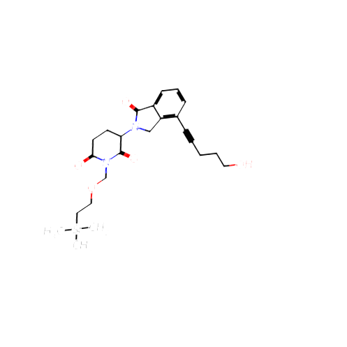 C[Si](C)(C)CCOCN1C(=O)CCC(N2Cc3c(C#CCCCO)cccc3C2=O)C1=O